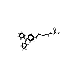 CCCCCCCC(=O)[O-].c1cc[c]([Sn+]([c]2ccccc2)[c]2ccccc2)cc1